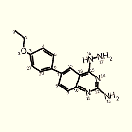 CCOc1ccc(-c2ccc3nc(N)nc(NN)c3c2)cc1